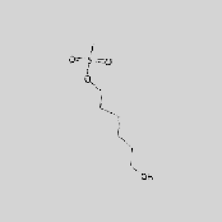 CS(=O)(=O)OCCCCCCO